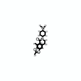 Cc1c2c(cc3c1C(=O)N([C@H]1CC[C@H](N(C)C)CC1)CC3)OC(C)O2